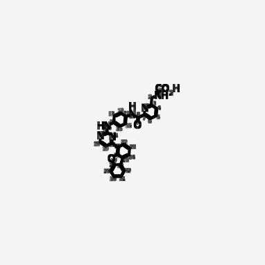 O=C(O)NCc1cccc(C(=O)Nc2ccc(Nc3nccc(-c4cccc5c4oc4ccccc45)n3)cc2)n1